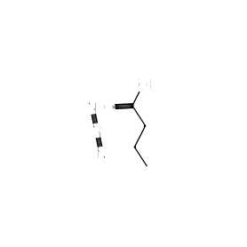 CCCC(=O)O.[N-]=[N+]=[N-]